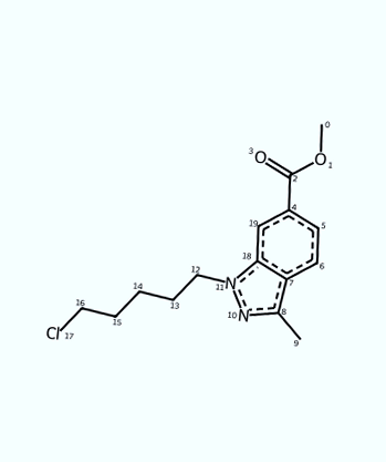 COC(=O)c1ccc2c(C)nn(CCCCCCl)c2c1